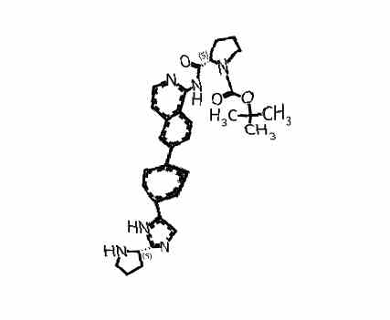 CC(C)(C)OC(=O)N1CCC[C@H]1C(=O)Nc1nccc2cc(-c3ccc(-c4cnc([C@@H]5CCCN5)[nH]4)cc3)ccc12